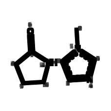 Cn1ccnc1.O=C1CCCN1